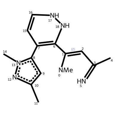 CN/C(=C\C(C)=N)C1=C(c2cc(C)nn2C)C=CNN1